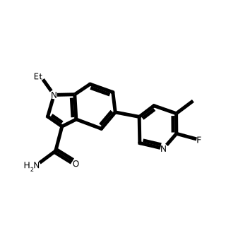 CCn1cc(C(N)=O)c2cc(-c3cnc(F)c(C)c3)ccc21